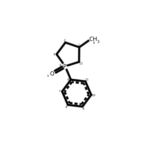 CC1CCP(=O)(c2ccccc2)C1